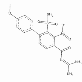 COc1ccc(-c2ccc(C(=O)N=C(N)N)c([N+](=O)[O-])c2S(N)(=O)=O)cc1